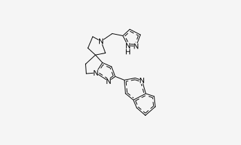 c1ccc2ncc(-c3cc4n(n3)CCC43CCN(Cc4ccn[nH]4)C3)cc2c1